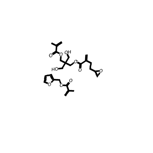 C=C(C)C(=O)OCC(CO)(CO)COC(=O)C(=C)CCC1CO1.C=C(C)C(=O)OCc1ccco1